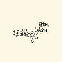 COC(C)CC(C)(C)C(=O)Oc1ccc2c(c1)Oc1cc(OC(=O)C(C)(C)CC(C)(C)C)ccc1C21OC(=O)c2ccccc21